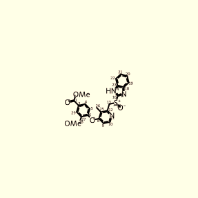 COC(=O)c1ccc(Oc2ccnc(C[S+]([O-])c3nc4ccccc4[nH]3)c2C)c(OC)c1